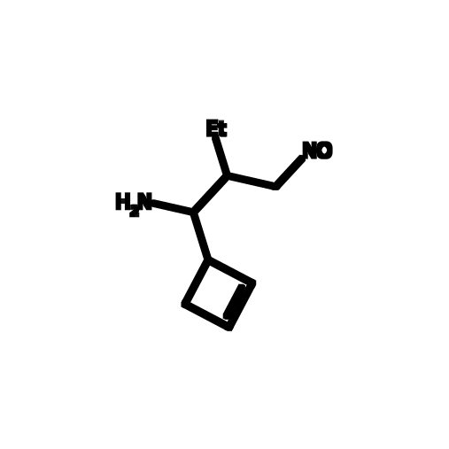 CCC(CN=O)C(N)C1C=CC1